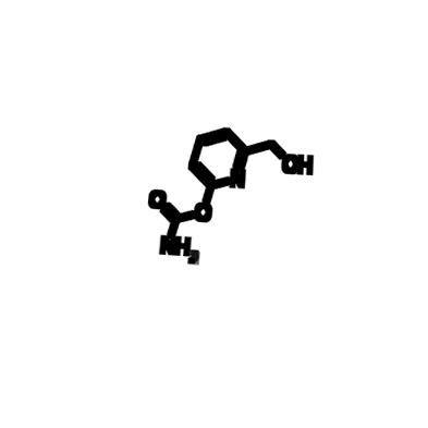 NC(=O)Oc1cccc(CO)n1